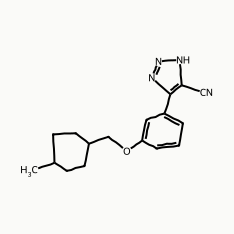 CC1CCC(COc2cccc(-c3nn[nH]c3C#N)c2)CC1